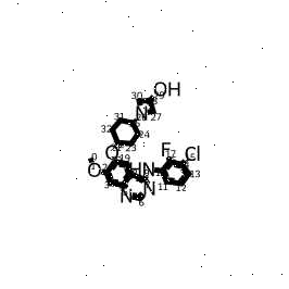 COc1cc2ncnc(Nc3cccc(Cl)c3F)c2cc1O[C@H]1CC[C@H](N2CC(O)C2)CC1